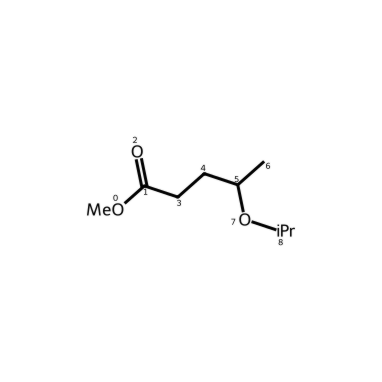 COC(=O)CCC(C)OC(C)C